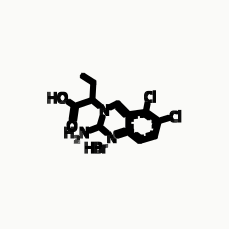 Br.CCC(C(=O)O)N1C=c2c(Cl)c(Cl)ccc2=NC1N